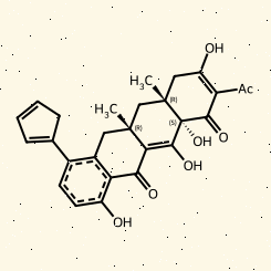 CC(=O)C1=C(O)C[C@@]2(C)C[C@@]3(C)Cc4c(C5=CC=CC5)ccc(O)c4C(=O)C3=C(O)[C@]2(O)C1=O